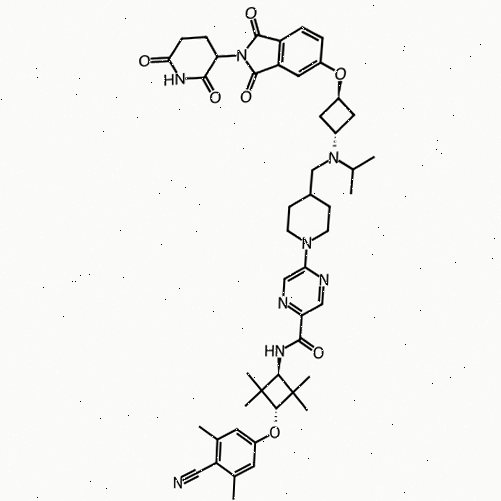 Cc1cc(O[C@H]2C(C)(C)[C@H](NC(=O)c3cnc(N4CCC(CN(C(C)C)[C@H]5C[C@H](Oc6ccc7c(c6)C(=O)N(C6CCC(=O)NC6=O)C7=O)C5)CC4)cn3)C2(C)C)cc(C)c1C#N